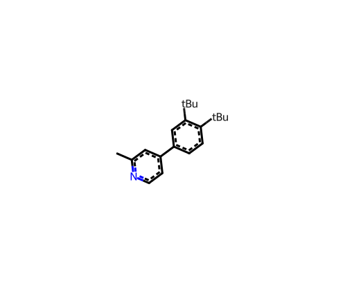 Cc1cc(-c2ccc(C(C)(C)C)c(C(C)(C)C)c2)ccn1